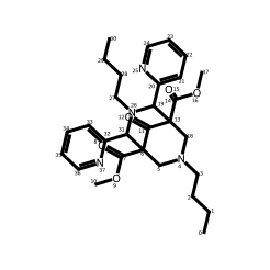 CCCCN1CC2(C(=O)OC)C(=O)C(C(=O)OC)(C1)C(c1ccccn1)N(CCCC)C2c1ccccn1